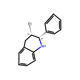 CC[C@H]1Cc2ccccc2N[C@H]1c1ccccc1